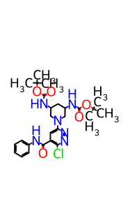 CC(C)(C)OC(=O)NC1CC(NC(=O)OC(C)(C)C)CN(c2cc(C(=O)Nc3ccccc3)c(Cl)nn2)C1